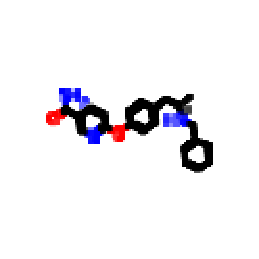 C[C@H](Cc1ccc(Oc2ccc(C(N)=O)cn2)cc1)NCc1ccccc1